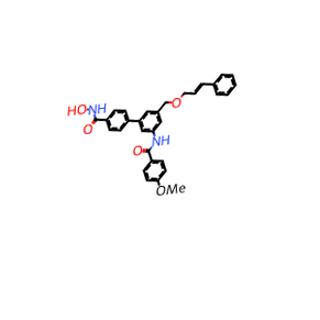 COc1ccc(C(=O)Nc2cc(COCC=Cc3ccccc3)cc(-c3ccc(C(=O)NO)cc3)c2)cc1